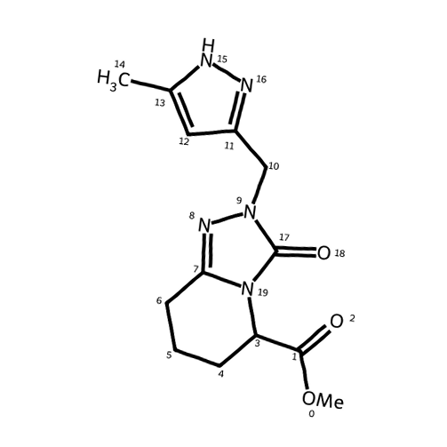 COC(=O)C1CCCc2nn(Cc3cc(C)[nH]n3)c(=O)n21